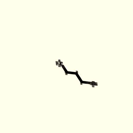 CCCCCC[CH]C(F)(F)F